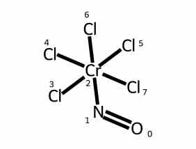 O=[N][Cr]([Cl])([Cl])([Cl])([Cl])[Cl]